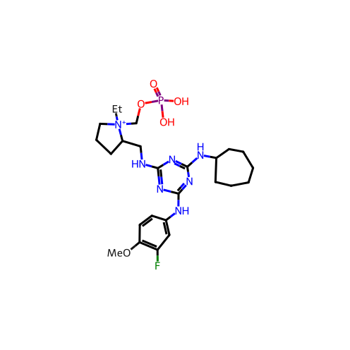 CC[N+]1(COP(=O)(O)O)CCCC1CNc1nc(Nc2ccc(OC)c(F)c2)nc(NC2CCCCCC2)n1